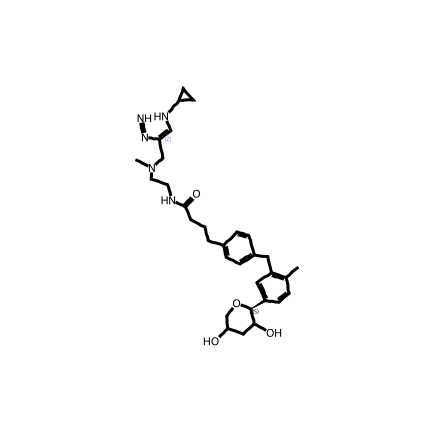 Cc1ccc([C@@H]2OCC(O)CC2O)cc1Cc1ccc(CCCC(=O)NCCN(C)C/C(=C/NC2CC2)N=N)cc1